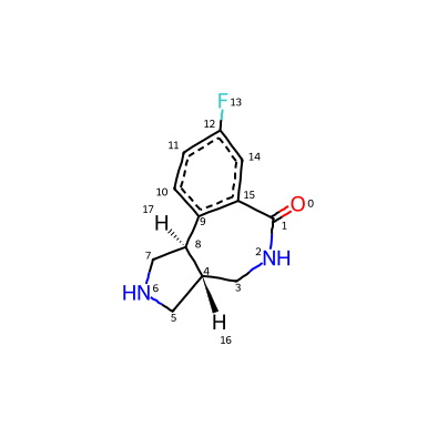 O=C1NC[C@@H]2CNC[C@H]2c2ccc(F)cc21